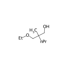 CCCC(C)(CO)COCC